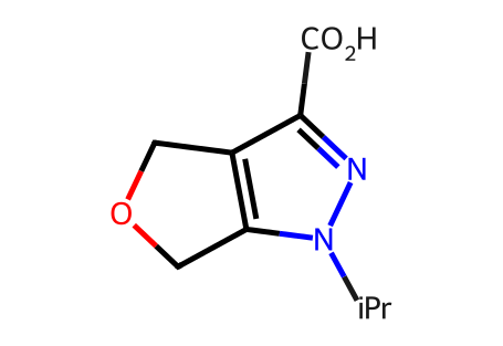 CC(C)n1nc(C(=O)O)c2c1COC2